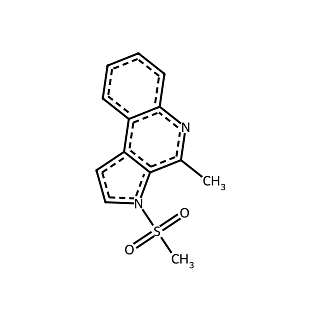 Cc1nc2ccccc2c2ccn(S(C)(=O)=O)c12